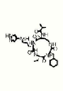 CC[C@@H]1NC(=O)[C@H](CCC[AsH]c2cn[nH]c2)NC(=O)[C@](C)(NC(=O)C(C)C)CCNC(=O)[C@@H](CC2CCCCC2)NC1=O